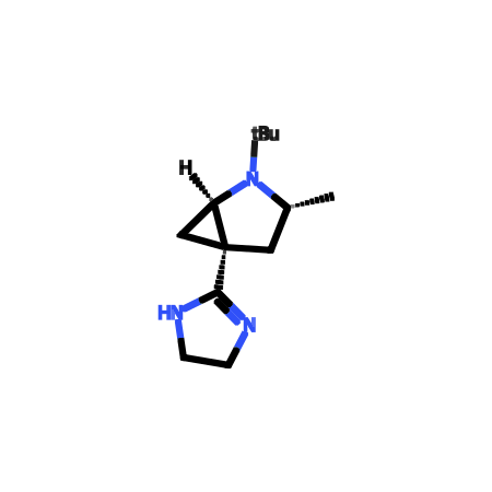 C[C@@H]1C[C@@]2(C3=NCCN3)C[C@H]2N1C(C)(C)C